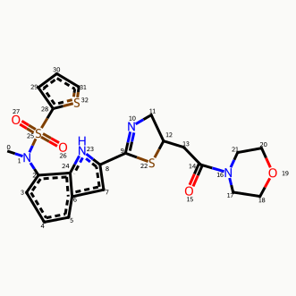 CN(c1cccc2cc(C3=NCC(CC(=O)N4CCOCC4)S3)[nH]c12)S(=O)(=O)c1cccs1